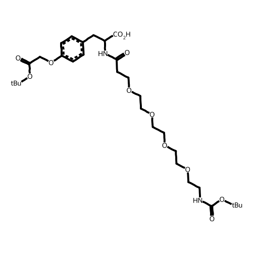 CC(C)(C)OC(=O)COc1ccc(CC(NC(=O)CCOCCOCCOCCOCCNC(=O)OC(C)(C)C)C(=O)O)cc1